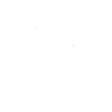 CCOC(=O)C(c1ccc(C(C)C)cc1C(C)C)C(C)C